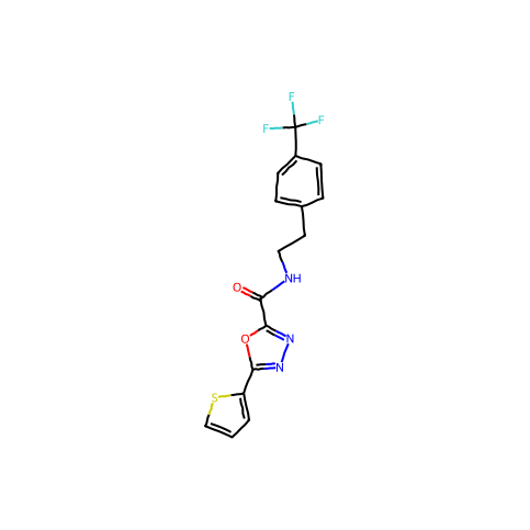 O=C(NCCc1ccc(C(F)(F)F)cc1)c1nnc(-c2cccs2)o1